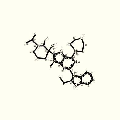 CCc1nc2ccccc2n1-c1nc(N2CCOCC2)c2nc(C3(O)CCCN(C(C)C)C3I)n(C)c2n1